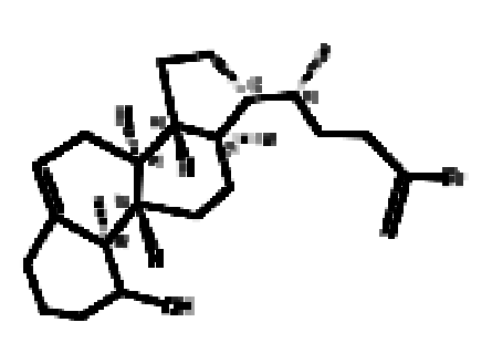 C=C(CC[C@@H](C)[C@H]1CC[C@H]2[C@@H]3CC=C4CCCC(O)[C@]4(C)[C@H]3CC[C@]12C)C(C)C